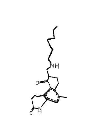 CCCCCCNCC1CCc2c(C)cc3c(c2C1=O)CCC(=O)N3